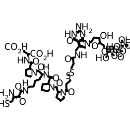 Nc1nc2c(c(CNC(=O)CCSSCCC(=O)N3CCCC3C(=O)N3CCCC3C(=O)NC(CCCCNC(=O)C(=O)[C@@H](N)CS)C(=O)N3CCCC3C(=O)NC(CC(=O)O)C(=O)O)cn2C2CC(O)C(COP(=O)(O)OP(=O)(O)OP(=O)(O)O)O2)c(=O)[nH]1